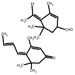 CC=CC=C1C(C)=CC(=O)CC1(C)C.CCC(C)=C1C(C)=CC(C=O)CC1(C)C